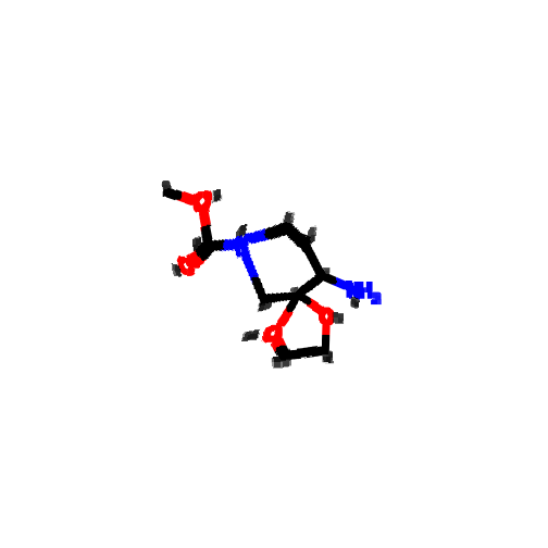 COC(=O)N1CCC(N)C2(C1)OCCO2